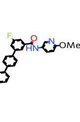 COc1ccc(NC(=O)c2cc(F)cc(-c3ccc(-c4ccccc4)cc3)c2)cn1